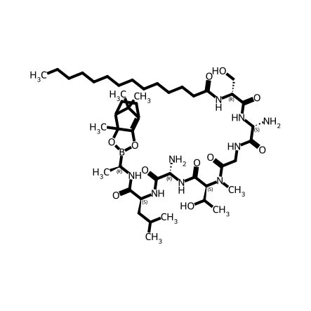 CCCCCCCCCCCCCC(=O)N[C@H](CO)C(=O)N[C@H](N)C(=O)NCC(=O)N(C)[C@H](C(=O)N[C@@H](N)C(=O)N[C@@H](CC(C)C)C(=O)N[C@@H](C)B1OC2=C3CCC(C3(C)C)C2(C)O1)C(C)O